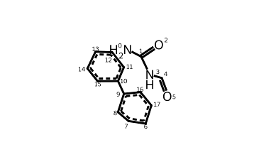 NC(=O)NC=O.c1ccc(-c2ccccc2)cc1